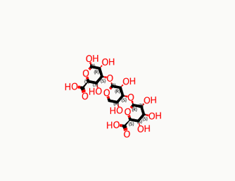 O=C(O)[C@H]1O[C@@H](O[C@@H]2[C@@H](O)[C@@H](O[C@@H]3[C@@H](O)[C@H](O)O[C@H](C(=O)O)[C@H]3O)OC[C@H]2O)[C@H](O)[C@@H](O)[C@@H]1O